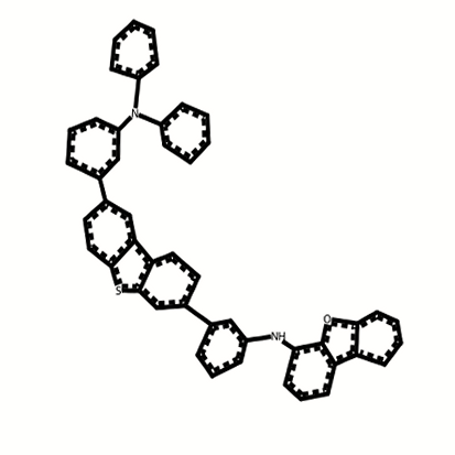 c1ccc(N(c2ccccc2)c2cccc(-c3ccc4sc5cc(-c6cccc(Nc7cccc8c7oc7ccccc78)c6)ccc5c4c3)c2)cc1